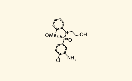 COc1ccccc1N(CCO)S(=O)(=O)c1ccc(Cl)c(N)c1